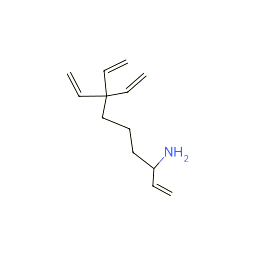 C=CC(N)CCCC(C=C)(C=C)C=C